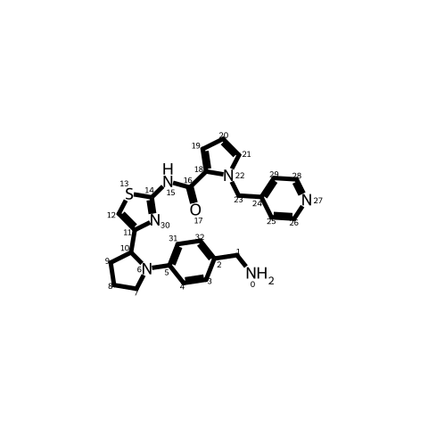 NCc1ccc(N2CCCC2c2csc(NC(=O)c3cccn3Cc3ccncc3)n2)cc1